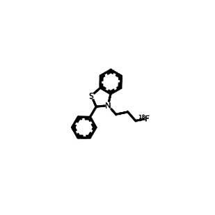 [18F]CCCN1c2ccccc2SC1c1ccccc1